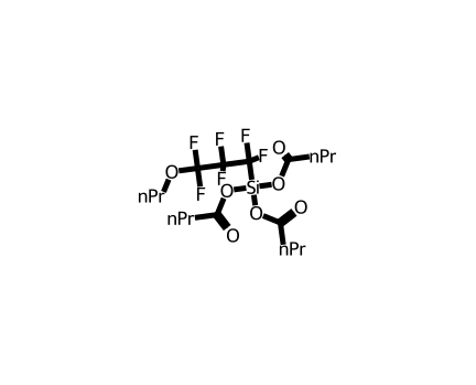 CCCOC(F)(F)C(F)(F)C(F)(F)[Si](OC(=O)CCC)(OC(=O)CCC)OC(=O)CCC